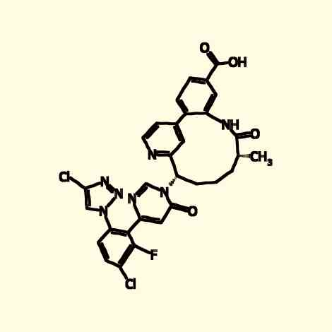 C[C@@H]1CCC[C@H](n2cnc(-c3c(-n4cc(Cl)nn4)ccc(Cl)c3F)cc2=O)c2cc(ccn2)-c2ccc(C(=O)O)cc2NC1=O